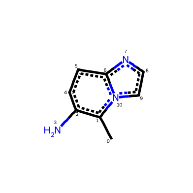 Cc1c(N)ccc2nccn12